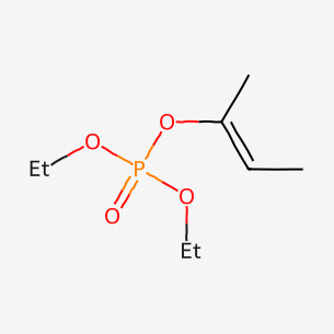 CC=C(C)OP(=O)(OCC)OCC